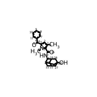 Cc1cc(C(=O)c2ccccc2)n(C)c1C(=O)NC1C2CC3CC1CC(O)(C3)C2